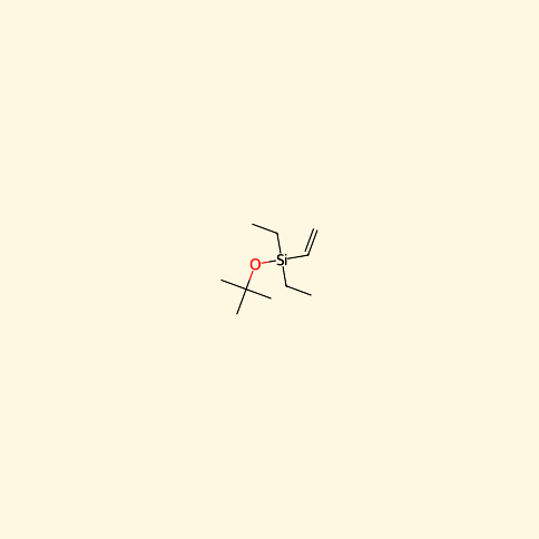 C=C[Si](CC)(CC)OC(C)(C)C